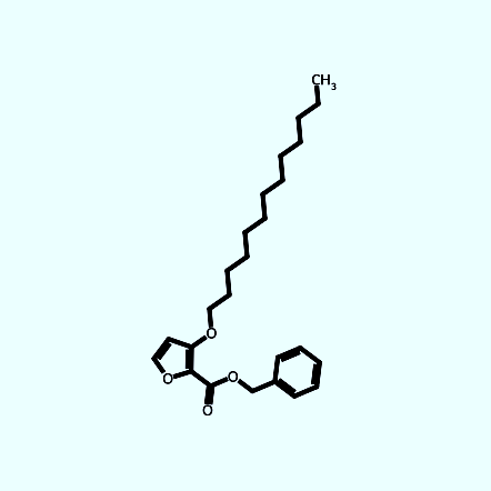 CCCCCCCCCCCCCOc1ccoc1C(=O)OCc1ccccc1